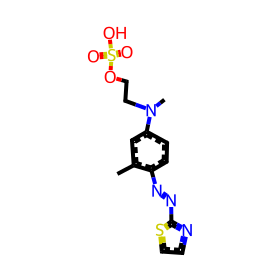 Cc1cc(N(C)CCOS(=O)(=O)O)ccc1/N=N/c1nccs1